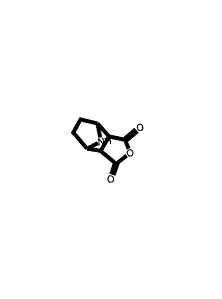 O=C1OC(=O)C2C3CCC(N3)C12